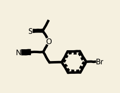 CC(=S)OC(C#N)Cc1ccc(Br)cc1